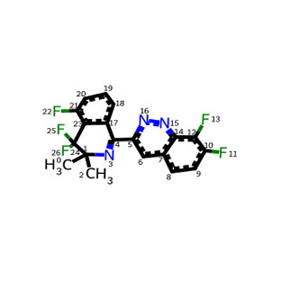 CC1(C)N=C(c2cc3ccc(F)c(F)c3nn2)c2cccc(F)c2C1(F)F